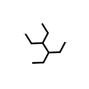 [CH2]CC(CC)C(C[CH2])CC